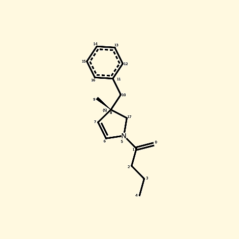 C=C(CCC)N1C=C[C@](C)(Cc2ccccc2)C1